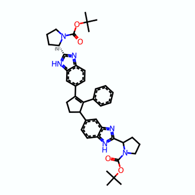 CC(C)(C)OC(=O)N1CCCC1c1nc2cc(C3CCC(c4ccc5nc([C@@H]6CCCN6C(=O)OC(C)(C)C)[nH]c5c4)=C3c3ccccc3)ccc2[nH]1